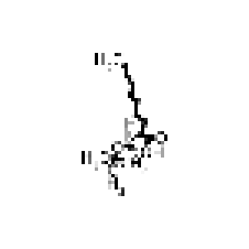 C=CCCCCCCC(NC(=O)OC(C)(C)C)C(=O)O